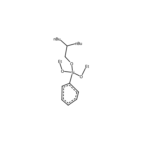 CCCCC(CCCC)CO[Si](OCC)(OCC)c1ccccc1